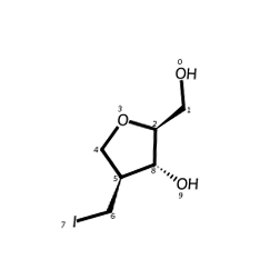 OC[C@@H]1OC[C@H](CI)[C@H]1O